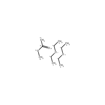 CCOCC.CCOCC.COC(C)=O